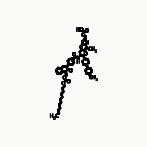 CCCCCCCCCCCCOC(=O)OCn1c(=O)c(C2CCN(C(=O)N[C@H](Cc3cc(C)c4nn(COC(=O)O)cc4c3)C(=O)N3CCN(C4CCN(C)CC4)CC3)CC2)cc2ccccc21